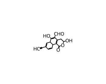 C#CC1=CC2C(O)=C(C=O)C3=C(C(=O)OC(O)C3)C2C=C1